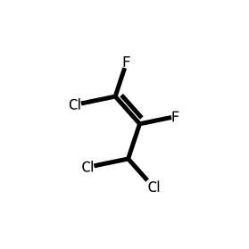 FC(Cl)=C(F)C(Cl)Cl